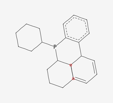 C1=CCC(c2ccccc2P(C2CCCCC2)C2CCCCC2)C=C1